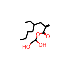 C=C(CC(CC)CCCC)C(=O)OC(O)CO